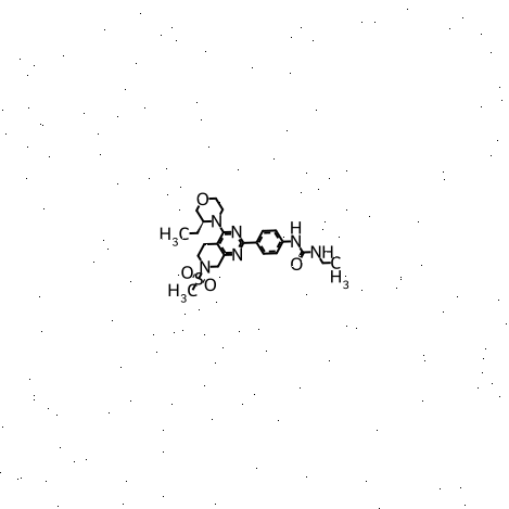 CCNC(=O)Nc1ccc(-c2nc3c(c(N4CCOC[C@@H]4CC)n2)CCN(S(C)(=O)=O)C3)cc1